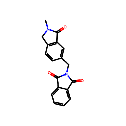 CN1Cc2ccc(CN3C(=O)c4ccccc4C3=O)cc2C1=O